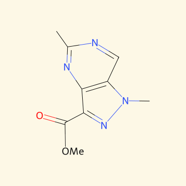 COC(=O)c1nn(C)c2cnc(C)nc12